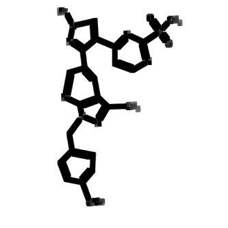 COc1ccc(Cn2nc(C)c3cc(-c4nn(C(C)C)cc4-c4ccnc(S(C)(=O)=O)n4)cnc32)cc1